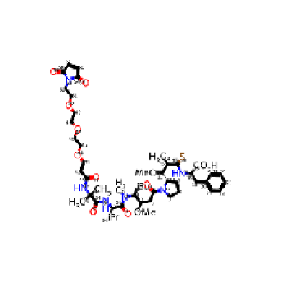 CCC(C)C(C(CC(=O)N1CCC[C@H]1C(OC)C(C)C(=S)NC(Cc1ccccc1)C(=O)O)OC)N(C)C(=O)C(NC(=O)C(C)(C)NC(=O)CCOCCOCCOCCN1C(=O)C=CC1=O)C(C)C